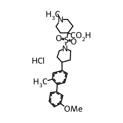 COc1cccc(-c2ccc(C3CCN(S(=O)(=O)C4(C(=O)O)CCN(C)CC4)CC3)cc2C)c1.Cl